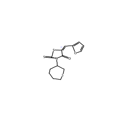 O=C1/C(=C\c2ccco2)SC(=S)N1C1CCCCCC1